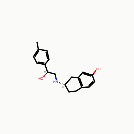 Cc1ccc([C@H](O)CN[C@H]2CCc3ccc(O)cc3C2)cc1